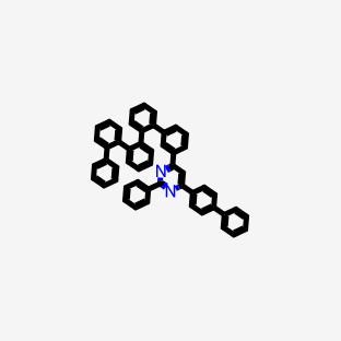 c1ccc(-c2ccc(-c3cc(-c4cccc(-c5ccccc5-c5ccccc5-c5ccccc5-c5ccccc5)c4)nc(-c4ccccc4)n3)cc2)cc1